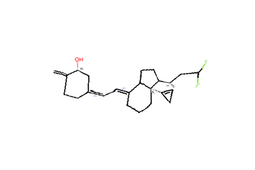 C=C1CC/C(=C/C=C2\CCC[C@@]3(C4=CC4)C2CCC3[C@@H](C)CC(F)F)C[C@H]1O